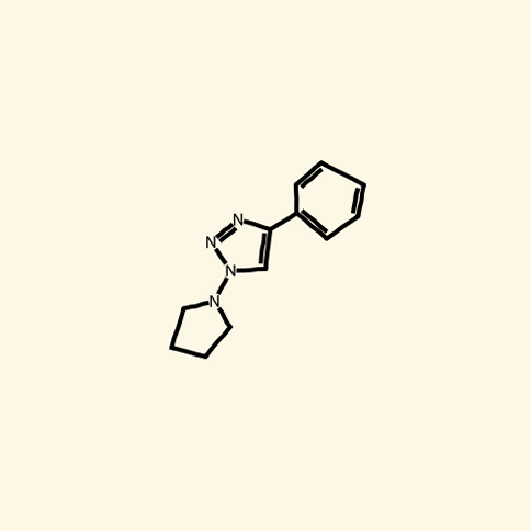 c1ccc(-c2cn(N3CCCC3)nn2)cc1